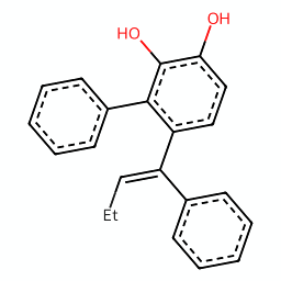 CCC=C(c1ccccc1)c1ccc(O)c(O)c1-c1ccccc1